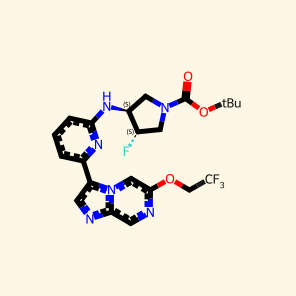 CC(C)(C)OC(=O)N1C[C@H](Nc2cccc(-c3cnc4cnc(OCC(F)(F)F)cn34)n2)[C@@H](F)C1